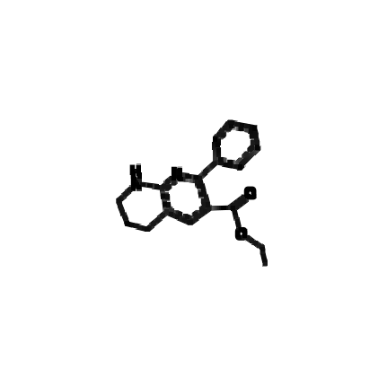 CCOC(=O)c1cc2c(nc1-c1ccccc1)NCCC2